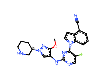 COc1nn([C@@H]2CCCNC2)cc1Nc1ncc(F)c(-n2ccc3c(C#N)cccc32)n1